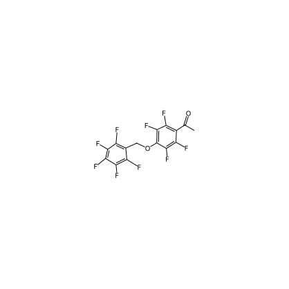 CC(=O)c1c(F)c(F)c(OCc2c(F)c(F)c(F)c(F)c2F)c(F)c1F